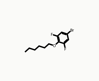 CCCCCCOc1c(F)cc(Br)cc1F